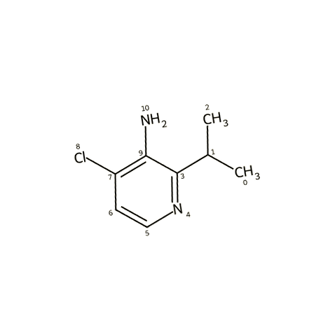 CC(C)c1nccc(Cl)c1N